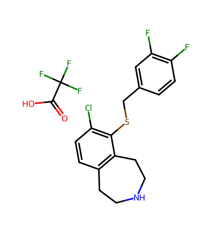 Fc1ccc(CSc2c(Cl)ccc3c2CCNCC3)cc1F.O=C(O)C(F)(F)F